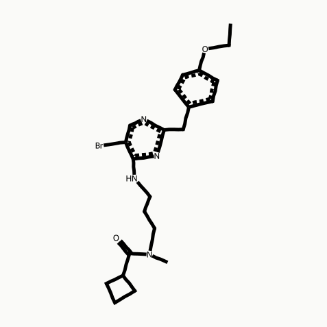 CCOc1ccc(Cc2ncc(Br)c(NCCCN(C)C(=O)C3CCC3)n2)cc1